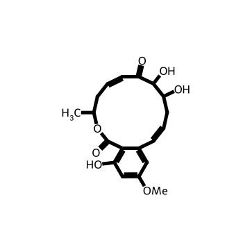 COc1cc(O)c2c(c1)C=CCC(O)C(O)C(=O)C=CCC(C)OC2=O